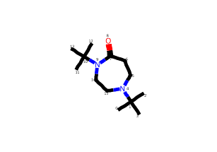 CC(C)(C)N1CCC(=O)N(C(C)(C)C)CC1